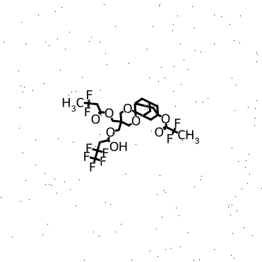 CC(F)(F)CC(=O)OCC1(COC(O)CC(F)(F)C(F)(F)F)COC2(OC1)C1CC3CC2CC(OC(=O)C(C)(F)F)(C3)C1